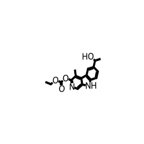 CCOC(=O)Oc1ncc2[nH]c3ccc(C(C)O)cc3c2c1C